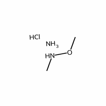 CNOC.Cl.N